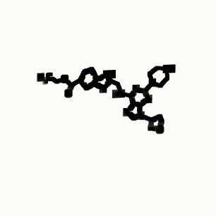 CCOC(=O)c1ccc2[nH]c(CNc3nc(N4CCNCC4)nc4c3ncn4-c3ccoc3)nc2c1